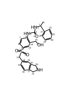 CC(NC(=O)Nc1ccc(S(=O)(=O)Cc2ccc3c(c2)CNC3)cc1CO)c1ccccc1